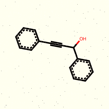 OC(C#Cc1ccccc1)c1ccccc1